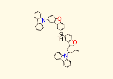 C=C/C=C(\C=C1/COc2ccc([SiH](C)c3ccc4oc5ccc(-n6c7ccccc7c7ccccc76)cc5c4c3)cc21)n1c2ccccc2c2ccccc21